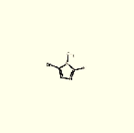 Cn1c(Br)cnc1Br